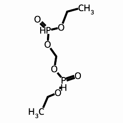 CCO[PH](=O)OCO[PH](=O)OCC